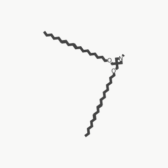 CCCCCC=CCC=CCCCCCCCCOCC1(COCCCCCCCCC=CCC=CCCCCC)CN(C)C1